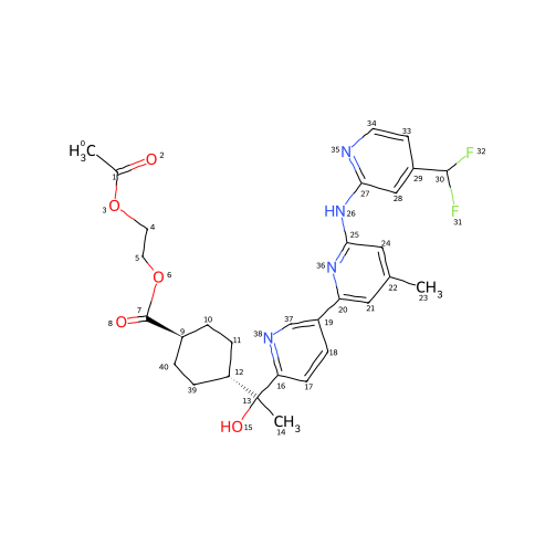 CC(=O)OCCOC(=O)[C@H]1CC[C@H](C(C)(O)c2ccc(-c3cc(C)cc(Nc4cc(C(F)F)ccn4)n3)cn2)CC1